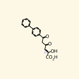 O=C(/C=C(\O)C(=O)O)CC(=O)c1ccc(-c2ccccc2)cc1